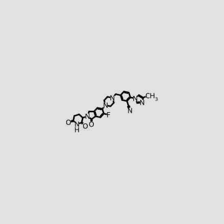 Cc1cn(-c2ccc(CN3CCN(c4cc5c(cc4F)C(=O)N(C4CCC(=O)NC4=O)C5)CC3)cc2C#N)cn1